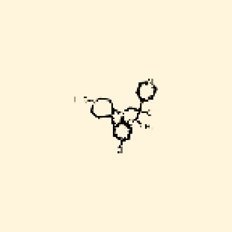 CC(C)C(O)(Cn1c2c(c3cc(Cl)ccc31)CCN(C)CC2)c1ccncc1